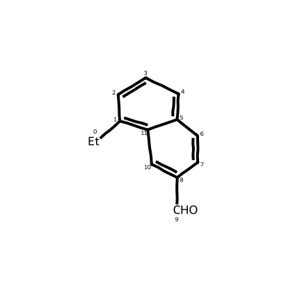 CCc1cccc2ccc(C=O)cc12